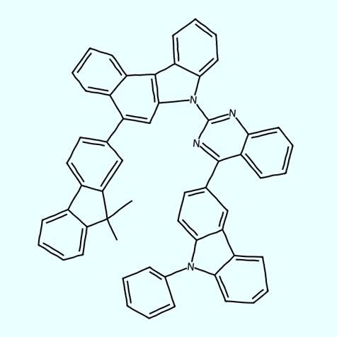 CC1(C)c2ccccc2-c2ccc(-c3cc4c(c5ccccc35)c3ccccc3n4-c3nc(-c4ccc5c(c4)c4ccccc4n5-c4ccccc4)c4ccccc4n3)cc21